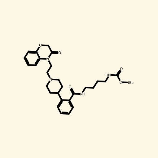 CC(C)(C)OC(=O)NCCCCNC(=O)c1ccccc1C1CCN(CCN2C(=O)COc3ccccc32)CC1